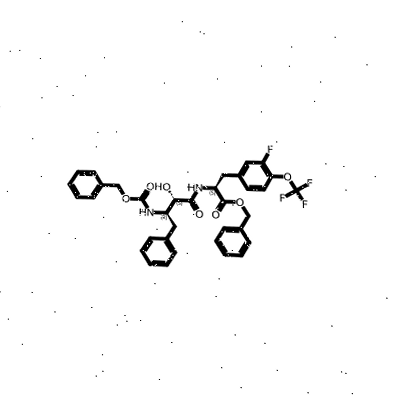 O=C(N[C@H](Cc1ccccc1)[C@H](O)C(=O)N[C@@H](Cc1ccc(OC(F)(F)F)c(F)c1)C(=O)OCc1ccccc1)OCc1ccccc1